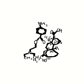 C=C1C[C@@]23CC[C@H]4[C@@](C)(CCC[C@@]4(C)C(=O)O)[C@@H]2CC[C@]1(O)C3.CCN(CC)CCOC(=O)c1ccc(N)cc1